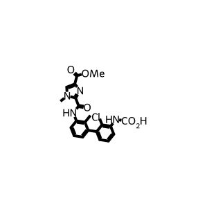 COC(=O)c1cn(C)c(C(=O)Nc2cccc(-c3cccc(NC(=O)O)c3Cl)c2C)n1